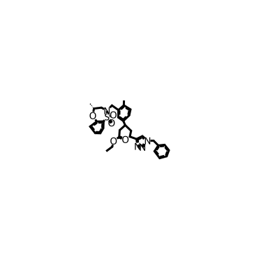 CCOC(=O)CC(CCc1cn(Cc2ccccc2)nn1)c1ccc(C)c(CN2C[C@@H](C)Oc3ccccc3S2(=O)=O)c1